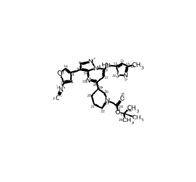 [C-]#[N+]c1cc(-c2cnn3c(Nc4cc(C)ns4)cc(C4CCCN(C(=O)OC(C)(C)C)C4)nc23)co1